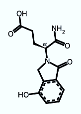 NC(=O)[C@H](CCC(=O)O)N1Cc2c(O)cccc2C1=O